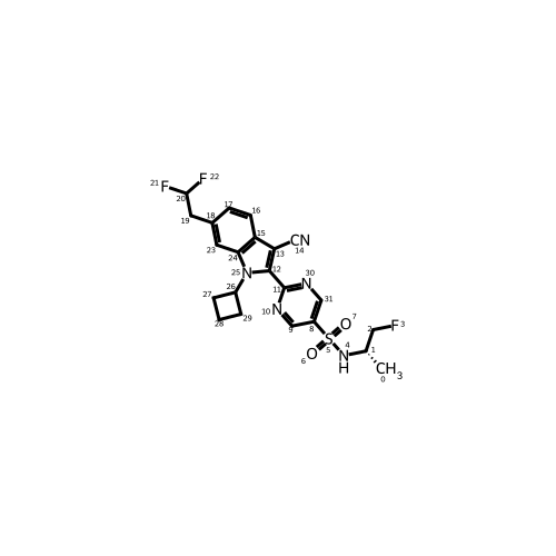 C[C@@H](CF)NS(=O)(=O)c1cnc(-c2c(C#N)c3ccc(CC(F)F)cc3n2C2CCC2)nc1